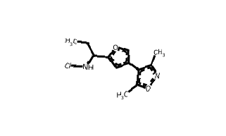 CCC(NCl)c1cc(-c2c(C)noc2C)co1